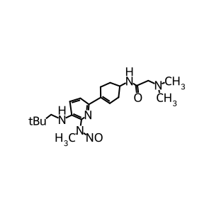 CN(C)CC(=O)NC1CC=C(c2ccc(NCC(C)(C)C)c(N(C)N=O)n2)CC1